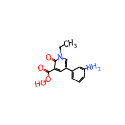 CCn1cc(-c2cccc(N)c2)cc(C(=O)OO)c1=O